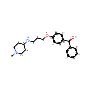 CN1CCC(NCCCOc2ccc(C(=O)c3ccccc3)cc2)CC1